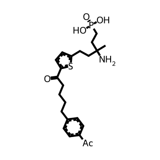 CC(=O)c1ccc(CCCCC(=O)c2ccc(CCC(C)(N)CCP(=O)(O)O)s2)cc1